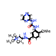 COc1ccc(C(=O)NCC[N+](C)(C)C)cc1NC(=O)Nc1cnccn1